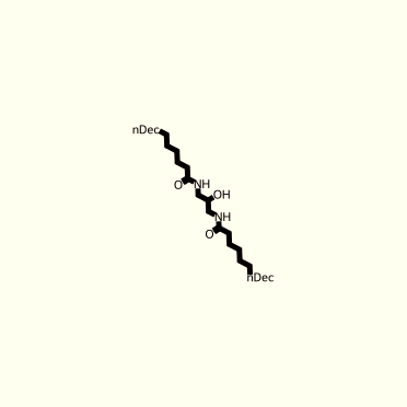 CCCCCCCCCCCCCCCC(=O)NCC(O)CNC(=O)CCCCCCCCCCCCCCC